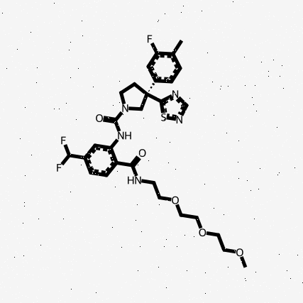 COCCOCCOCCNC(=O)c1ccc(C(F)F)cc1NC(=O)N1CC[C@@](c2ccc(C)c(F)c2)(c2ncns2)C1